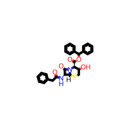 O=C(Cc1ccccc1)N[C@@H]1C(=O)N2[C@@H]1SCC(O)[C@@H]2C(=O)OC(c1ccccc1)c1ccccc1